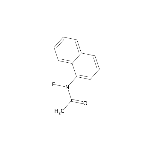 CC(=O)N(F)c1cccc2ccccc12